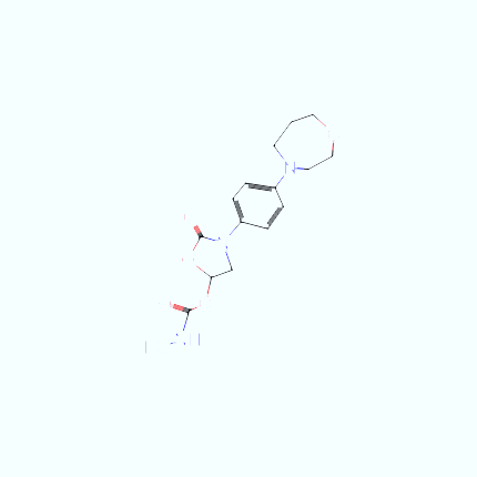 CNC(=O)OC1CN(c2ccc(N3CCCOCC3)cc2)C(=O)O1